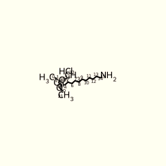 CCO[Si](CCCCCCCCCCCN)(OCC)OCC.Cl